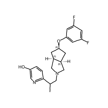 CC(CN1C[C@H]2C[C@@H](Oc3cc(F)cc(F)c3)C[C@H]2C1)c1ccc(O)cn1